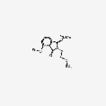 CCOc1cccc2c1C(=O)N(CCO[N+](=O)[O-])C2=O.CNC